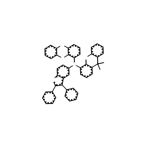 CC1(C)c2ccccc2Sc2c(N(c3ccc4oc(-c5ccccc5)c(-c5ccccc5)c4c3)c3cccc4c3Sc3ccccc3O4)cccc21